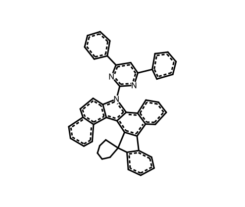 c1ccc(-c2cc(-c3ccccc3)nc(-n3c4ccc5ccccc5c4c4c5c(c6ccccc6c43)-c3ccccc3C53CCCCC3)n2)cc1